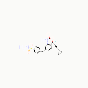 NS(=O)(=O)c1ccc(Cc2ccc3c(c2)NC(=O)O[C@]3(F)C#CC2CC2)cc1